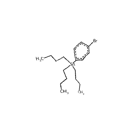 CCC[CH2][Sn]([CH2]CCC)([CH2]CCC)[c]1ccc(Br)cc1